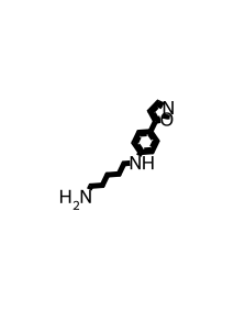 NCCCCCNc1ccc(-c2ccno2)cc1